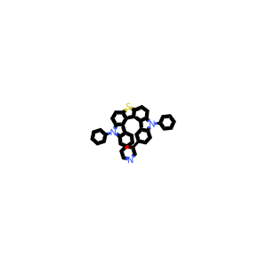 c1ccc(-n2c3ccccc3c3c4c(ccc32)sc2ccc3c(c5cc(-c6cccnc6)ccc5n3-c3ccccc3)c24)cc1